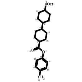 CCCCCCCCC1CCC(C2CCC(C(=O)Oc3ccc(C)cc3)CC2)CC1